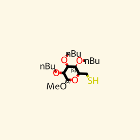 CCCCOC1C(OCCCC)[C@H](OCCCC)C(CS)O[C@@H]1OC